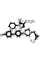 CCOC(=O)c1cnn(C2CCCN(c3cc(Cl)ccc3-c3ccc(N4CCN(CC5CC5C(F)(F)F)CC4)cc3)C2)c1C(F)(F)F